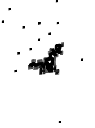 C=C(OC)C(C)(C)Cc1ccc(N)c(NCCCC)c1